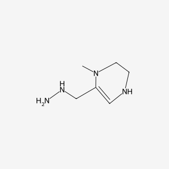 CN1CCNC=C1CNN